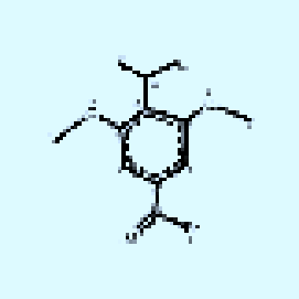 COc1cc(C(=O)Br)cc(OC)c1C(C)C